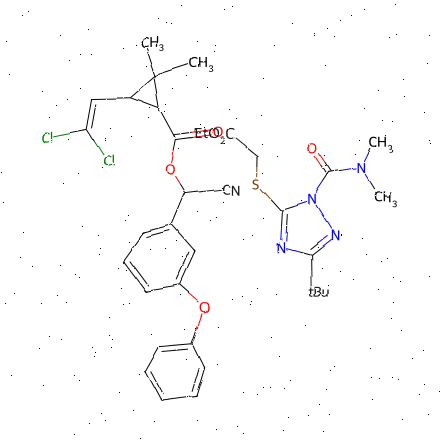 CC1(C)C(C=C(Cl)Cl)C1C(=O)OC(C#N)c1cccc(Oc2ccccc2)c1.CCOC(=O)CSc1nc(C(C)(C)C)nn1C(=O)N(C)C